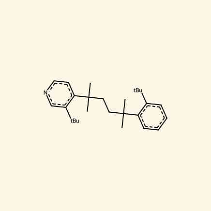 CC(C)(C)c1ccccc1C(C)(C)CCC(C)(C)c1ccncc1C(C)(C)C